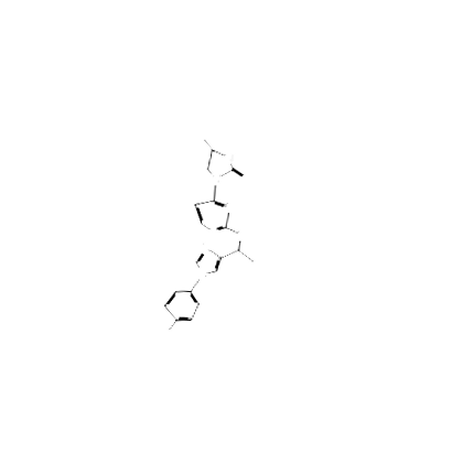 CC1CN(c2ccnc(NC(C)c3cn(-c4ccc(C(F)(F)F)cc4)cn3)n2)C(=O)N1